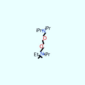 CCC(C)(C)N(CCOCCOCCN(C(C)C)C(C)C)C(C)C